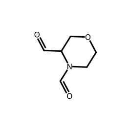 O=CC1COCCN1C=O